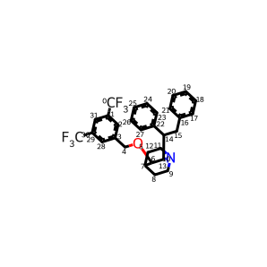 FC(F)(F)c1cc(COC2C3CCN(CC3)C2C(Cc2ccccc2)c2ccccc2)cc(C(F)(F)F)c1